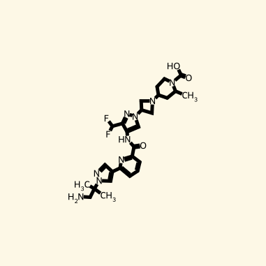 CC1CC(N2CC(n3cc(NC(=O)c4cccc(-c5cnn(C(C)(C)CN)c5)n4)c(C(F)F)n3)C2)CCN1C(=O)O